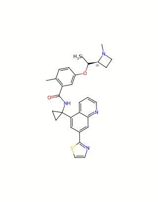 Cc1ccc(OC([SiH3])[C@@H]2CCN2C)cc1C(=O)NC1(c2cc(-c3nccs3)cc3ncccc23)CC1